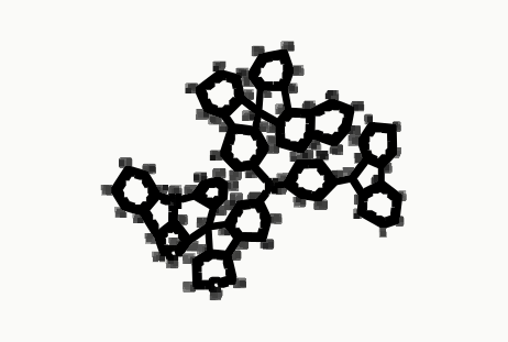 c1ccc2c(c1)-c1ccccc1C2c1ccc(N(c2ccc3c(c2)C2(c4ccccc4-3)c3ccccc3-c3c2ccc2ccccc32)c2ccc3c(c2)C2(c4ccccc4-3)c3ccccc3-n3c4ccccc4c4cccc2c43)cc1